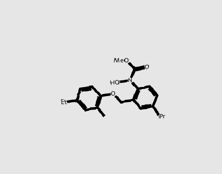 CCc1ccc(OCc2cc(C(C)C)ccc2N(O)C(=O)OC)c(C)c1